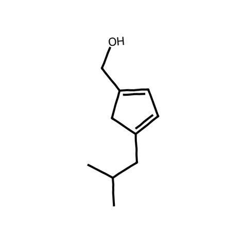 CC(C)CC1=CC=C(CO)C1